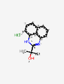 CCC(C)(O)C1=Nc2cccc3cccc(c23)N1.Cl